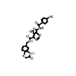 CC(=O)c1ccc(C(=O)Nc2n[nH]c3c(C(=O)NCc4ccc5c(c4)NC(=O)CO5)ncnc23)cc1